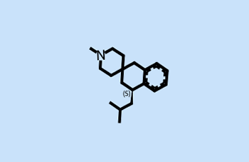 CC(C)C[C@H]1CC2(CCN(C)CC2)Cc2ccccc21